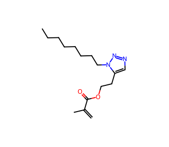 C=C(C)C(=O)OCCc1cnnn1CCCCCCCC